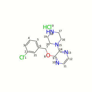 Cl.Clc1cccc(COc2nccnc2N2CCNCC2)c1